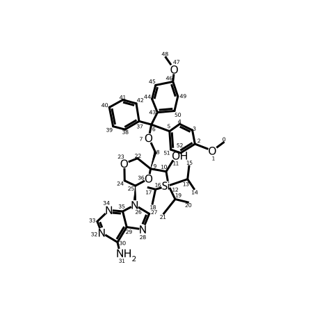 COc1ccc(C(OC[C@]2(C(O)[Si](C(C)C)(C(C)C)C(C)C)COC[C@H](n3cnc4c(N)ncnc43)O2)(c2ccccc2)c2ccc(OC)cc2)cc1